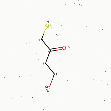 O=C(CS)CCBr